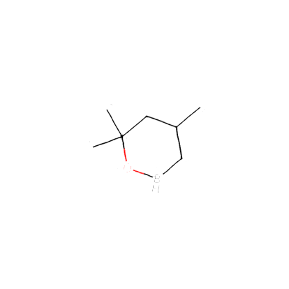 CC1CBOC(C)(C)C1